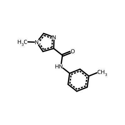 Cc1cccc(NC(=O)c2cn(C)cn2)c1